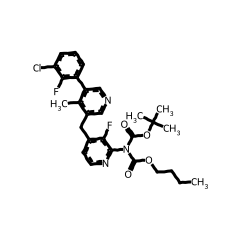 CCCCOC(=O)N(C(=O)OC(C)(C)C)c1nccc(Cc2cncc(-c3cccc(Cl)c3F)c2C)c1F